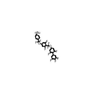 CCCCc1ccc(C(F)(F)Oc2cc(F)c(C(F)(F)Oc3cc(F)c(-c4cc(F)c(F)c(F)c4)c(F)c3)c(F)c2)cc1